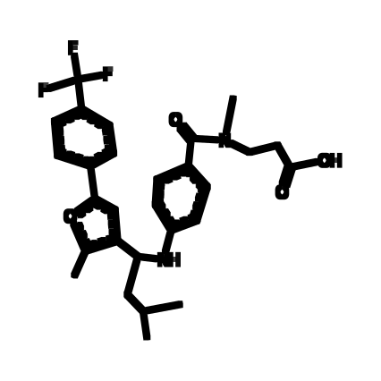 Cc1oc(-c2ccc(C(F)(F)F)cc2)cc1C(CC(C)C)Nc1ccc(C(=O)N(C)CCC(=O)O)cc1